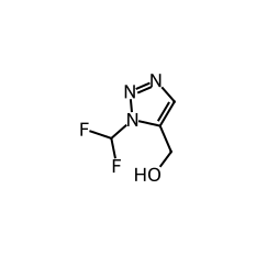 OCc1cnnn1C(F)F